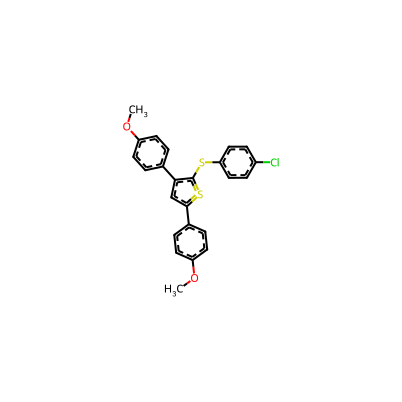 COc1ccc(-c2cc(-c3ccc(OC)cc3)c(Sc3ccc(Cl)cc3)s2)cc1